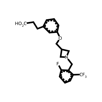 O=C(O)CCc1cccc(OCC2CN(Cc3c(F)cccc3C(F)(F)F)C2)c1